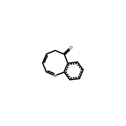 O=C1CC=CC=Nc2ccccc21